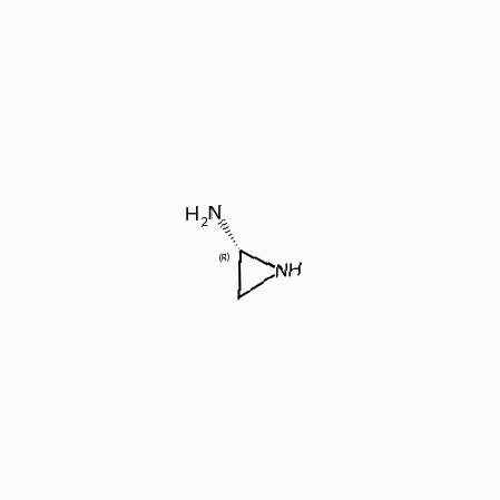 N[C@H]1CN1